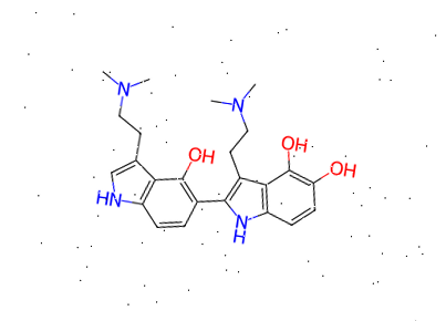 CN(C)CCc1c[nH]c2ccc(-c3[nH]c4ccc(O)c(O)c4c3CCN(C)C)c(O)c12